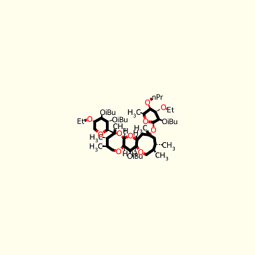 CCCO[C@H]1[C@H](OCC)[C@@H](OCC(C)C)[C@@H](OC2(C)C[C@H](C)[C@@H](C)CO[C@H]3[C@H](OCC(C)C)[C@H]4OC[C@@H](C)[C@H](C)C(C)([C@H]5OC[C@H](OCC)[C@@H](OCC(C)C)[C@@H]5OCC(C)C)O[C@H]4O[C@@H]3C2)O[C@@H]1C